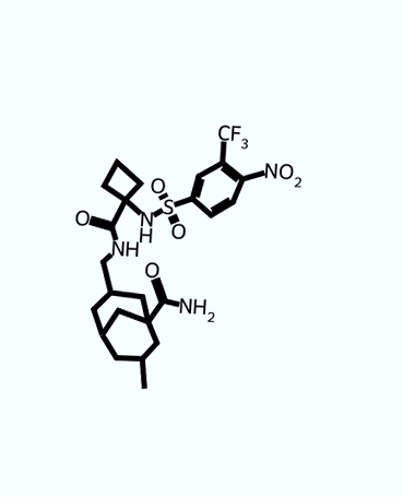 CC1CC2CC(CNC(=O)C3(NS(=O)(=O)c4ccc([N+](=O)[O-])c(C(F)(F)F)c4)CCC3)CC(C(N)=O)(C1)C2